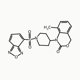 Cc1cccc2c1N(C1CCN(S(=O)(=O)c3cccc4nonc34)CC1)C(=O)OC2